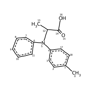 Cc1ccc(N(c2ccccc2)C(C)C(=O)O)cc1